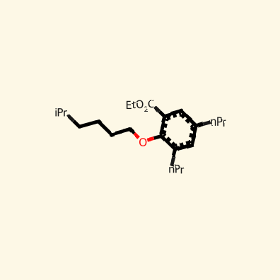 CCCc1cc(CCC)c(OCCCCC(C)C)c(C(=O)OCC)c1